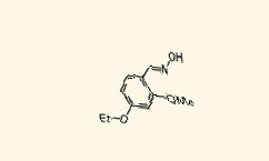 CCOc1ccc(C=NO)c(OC)c1